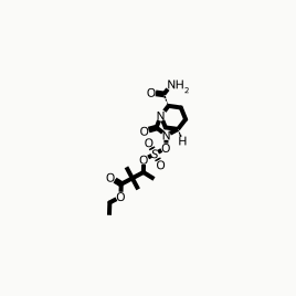 CCOC(=O)C(C)(C)C(C)OS(=O)(=O)ON1C(=O)N2C[C@H]1CC[C@H]2C(N)=O